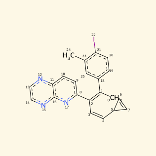 C/C(=C(\C=C/C1C=C1)c1ccc2nccnc2n1)c1ccc(I)c(C)c1